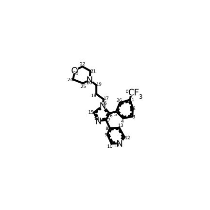 FC(F)(F)c1cccc(-c2c(-c3ccncc3)ncn2CCCN2CCOCC2)c1